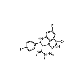 C=NN(C)/C(=N\C)[C@H]1c2n[nH]c(=O)c3cc(F)cc(c23)N[C@@H]1c1ccc(F)cc1